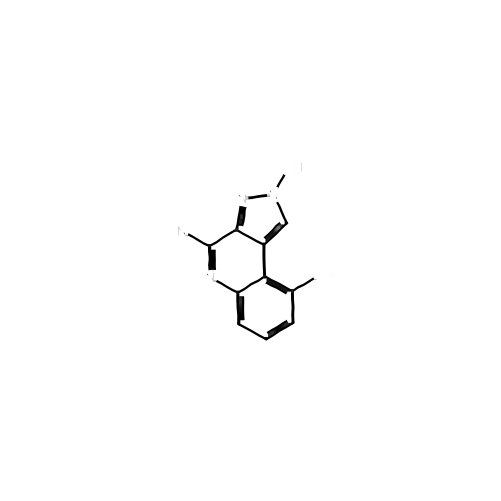 CCCCc1cccc2nc(N)c3nn(C)cc3c12